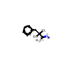 CCC(CC)(Cc1ccccc1)/C(C)=N/I